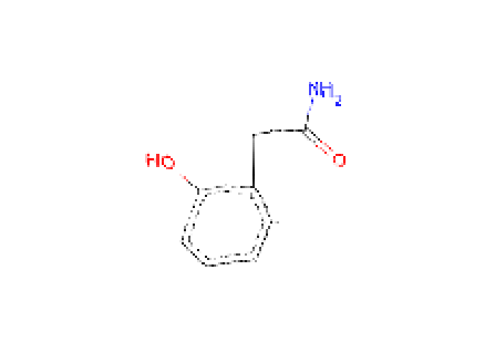 NC(=O)Cc1[c]cccc1O